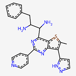 Cc1sc2c(C(N)C(N)Cc3ccccc3)nc(-c3ccncc3)nc2c1-c1ccn[nH]1